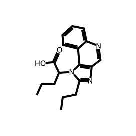 CCCc1nc2cnc3ccccc3c2n1C(CCC)C(=O)O